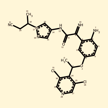 CC(Oc1ccc(N)c(C(=N)C(=O)Nc2cnn(C(C)CC#N)c2)c1)c1c(Cl)cncc1Cl